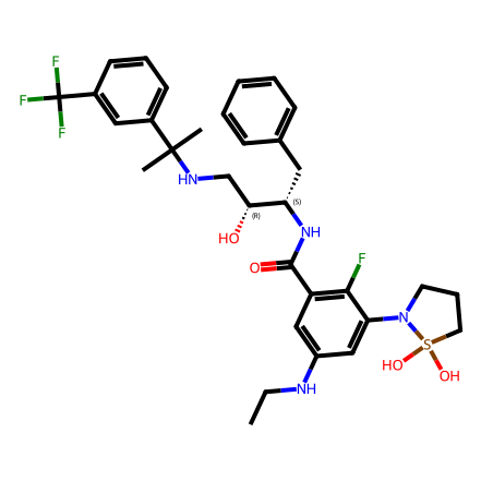 CCNc1cc(C(=O)N[C@@H](Cc2ccccc2)[C@H](O)CNC(C)(C)c2cccc(C(F)(F)F)c2)c(F)c(N2CCCS2(O)O)c1